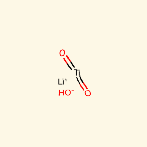 [Li+].[OH-].[O]=[Ti]=[O]